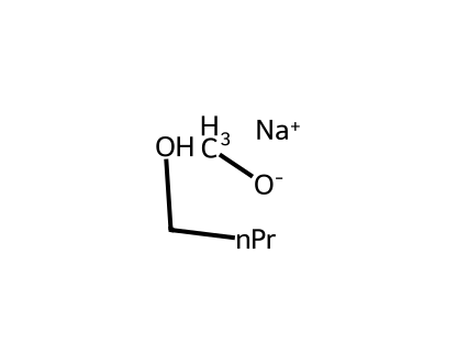 CCCCO.C[O-].[Na+]